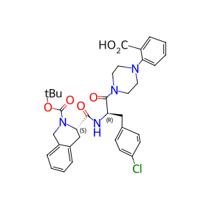 CC(C)(C)OC(=O)N1Cc2ccccc2C[C@H]1C(=O)N[C@H](Cc1ccc(Cl)cc1)C(=O)N1CCN(c2ccccc2C(=O)O)CC1